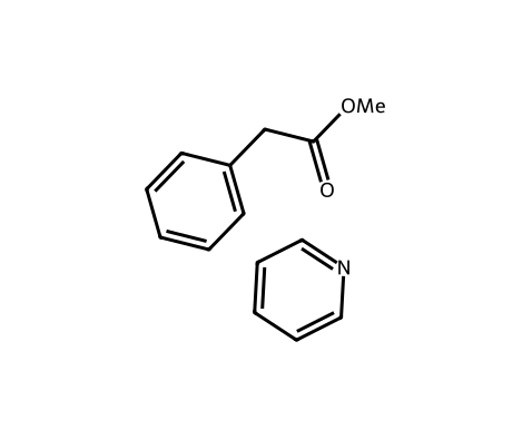 COC(=O)Cc1ccccc1.c1ccncc1